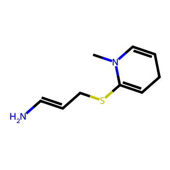 CN1C=CCC=C1SCC=CN